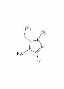 CCc1c(N)c(Br)nn1C